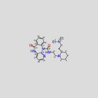 CCN(CC)CCC1CCCCN1CCNC(=O)N1c2ccccc2C(=O)Nc2cccnc21